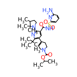 CC(C)OC(=O)N1CC=C(c2cc(C(=O)NS(=O)(=O)c3cccc(N)n3)c(N3CCC(C)C3(C)C)nc2C(C)(C)C)CC1